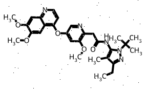 CCc1nn(C(C)(C)C)c(NC(=O)Cc2ncc(Oc3ccnc4cc(OC)c(OC)cc34)cc2OC)c1C